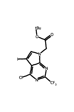 CC(C)(C)OC(=O)Cn1cc(I)c2c(Cl)nc(C(F)(F)F)nc21